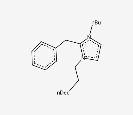 CCCCCCCCCCCC[n+]1ccn(CCCC)c1Cc1ccccc1